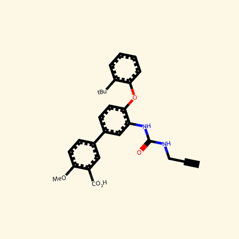 C#CCNC(=O)Nc1cc(-c2ccc(OC)c(C(=O)O)c2)ccc1Oc1ccccc1C(C)(C)C